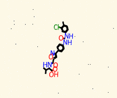 Cc1ccc(NC(=O)Nc2ccc(-c3cc(C(=O)NC(C(=O)O)C(C)C)on3)cc2)cc1Cl